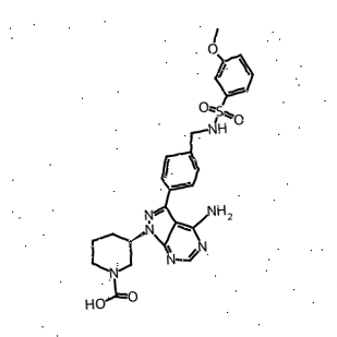 COc1cccc(S(=O)(=O)NCc2ccc(-c3nn([C@@H]4CCCN(C(=O)O)C4)c4ncnc(N)c34)cc2)c1